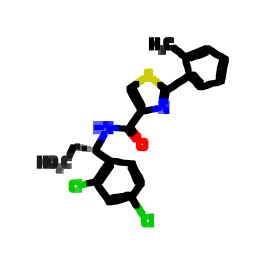 Cc1ccccc1-c1nc(C(=O)N[C@@H](CC(=O)O)c2ccc(Cl)cc2Cl)cs1